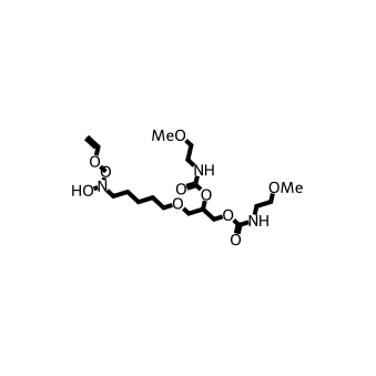 C=COON(O)CCCCCOCC(COC(=O)NCCOC)OC(=O)NCCOC